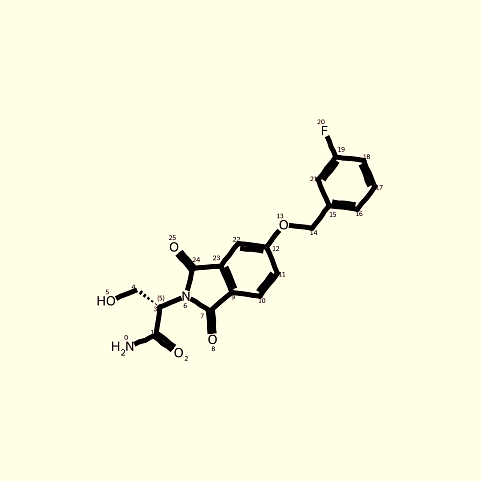 NC(=O)[C@H](CO)N1C(=O)c2ccc(OCc3cccc(F)c3)cc2C1=O